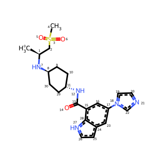 C[C@@H](CS(C)(=O)=O)N[C@H]1CC[C@H](NC(=O)c2cc(-n3ccnc3)cc3cc[nH]c23)CC1